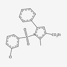 CCOC(=O)c1cc(-c2ccccc2)n(S(=O)(=O)c2cccc(Cl)c2)c1C